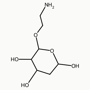 NCCOC1OC(O)CC(O)C1O